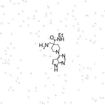 CCNC(=O)C1(CN)CCN(c2ncnc3[nH]ccc23)CC1